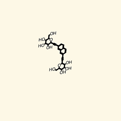 OCC1OC(C#Cc2ccc3ccc(C#CC4OC(CO)[C@@H](O)C(O)C4O)cc3c2)C(O)C(O)[C@@H]1O